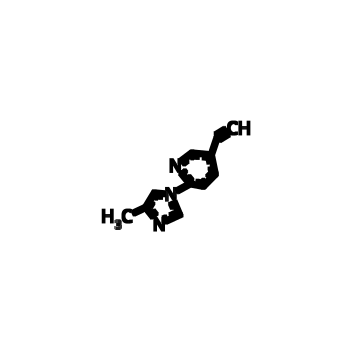 C#Cc1ccc(-n2cnc(C)c2)nc1